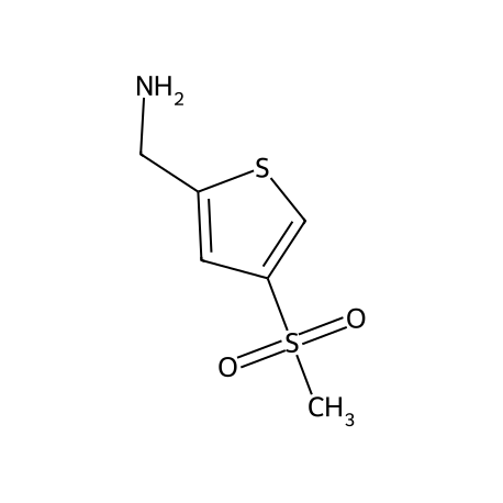 CS(=O)(=O)c1csc(CN)c1